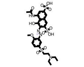 CCN(CC)CCS(=O)(=O)c1ccc(OC)c(/N=N/c2c(S(=O)(=O)O)cc3cc(S(=O)(=O)O)cc(NC(C)=O)c3c2O)c1